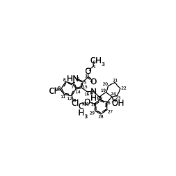 CCOC(=O)c1[nH]c2cc(Cl)cc(Cl)c2c1CNCC1CCCCC1(O)c1cccc(OC)c1